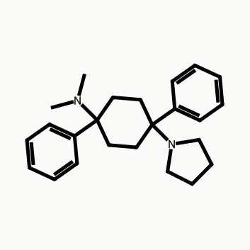 CN(C)C1(c2ccccc2)CCC(c2ccccc2)(N2CCCC2)CC1